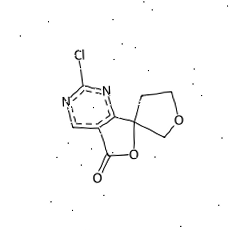 O=C1OC2(CCOC2)c2nc(Cl)ncc21